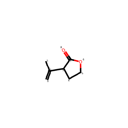 C=C(C)C1CCOC1=O